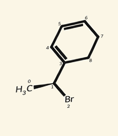 C[C@H](Br)C1=CC=CCC1